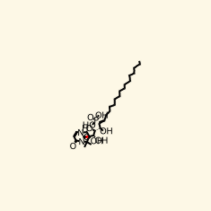 CCCCCCCCCCCCCCC/C=C(/C(O)[C@H]1O[C@H]2n3ccc(=O)n(c3=O)C(C)(C)[C@@]2(O)[C@@H]1O)P(=O)(O)O